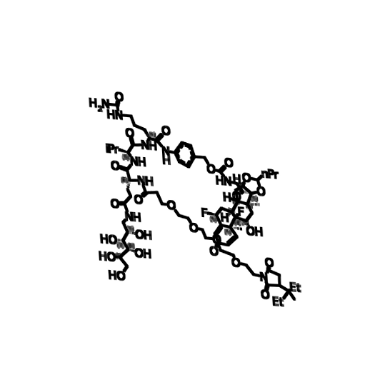 CCCC1O[C@@H]2C[C@H]3[C@@H]4C[C@H](F)C5=CC(=O)C=C[C@]5(C)[C@@]4(F)[C@@H](O)C[C@]3(C)[C@]2(C(=O)CNC(=O)OCc2ccc(NC(=O)[C@H](CCCNC(N)=O)NC(=O)[C@@H](NC(=O)[C@@H](CCC(=O)NC[C@H](O)[C@@H](O)[C@H](O)[C@H](O)CO)NC(=O)CCOCCOCCOCCOCCN3C(=O)CC(C(C)(CC)CC)C3=O)C(C)C)cc2)O1